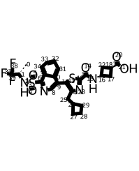 C[C@H](NS(=O)(=O)c1ncc(-c2sc(C(=O)N[C@H]3C[C@H](C(=O)O)C3)nc2CC2CCC2)c2ccccc12)C(F)(F)F